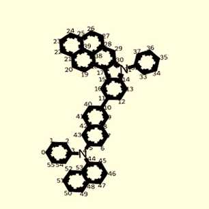 c1ccc(N(c2ccc3cc(-c4ccc5c(c4)c4c6ccc7cccc8ccc(cc4n5-c4ccccc4)c6c87)ccc3c2)c2cccc3ccccc23)cc1